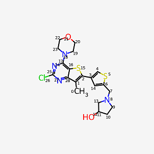 Cc1c(-c2csc(CN3CCC(O)C3)c2)sc2c(N3CCOCC3)nc(Cl)nc12